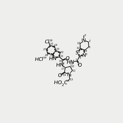 CN1CCc2nc(C(=O)N[C@@H]3CN(CC(=O)O)C(=O)[C@H]3NC(=O)c3cc4cc(Cl)ccc4[nH]3)sc2C1.Cl